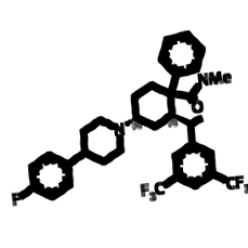 CNC(=O)C1(c2ccccc2)CC[C@@H](N2CCC(c3ccc(F)cc3)CC2)C[C@@H]1C(C)c1cc(C(F)(F)F)cc(C(F)(F)F)c1